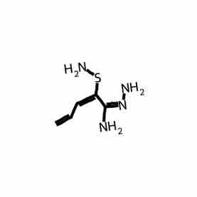 C=C/C=C(SN)\C(N)=N/N